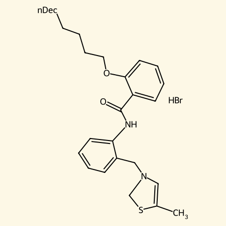 Br.CCCCCCCCCCCCCCOc1ccccc1C(=O)Nc1ccccc1CN1C=C(C)SC1